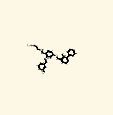 CC(=O)NCCNCc1ccc(OCc2cccc(-c3ccccc3)c2C)cc1OCc1cccc(F)c1